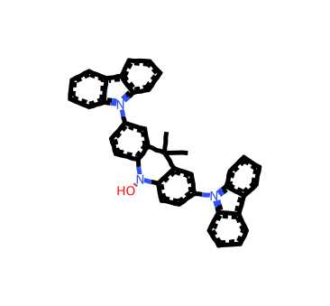 CC1(C)c2cc(-n3c4ccccc4c4ccccc43)ccc2N(O)c2ccc(-n3c4ccccc4c4ccccc43)cc21